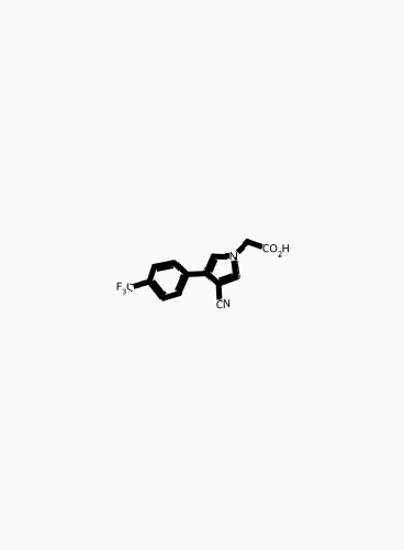 N#Cc1cn(CC(=O)O)cc1-c1ccc(C(F)(F)F)cc1